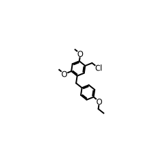 CCOc1ccc(Cc2cc(CCl)c(OC)cc2OC)cc1